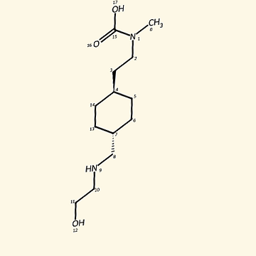 CN(CC[C@H]1CC[C@H](CNCCO)CC1)C(=O)O